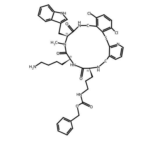 CN1C(=O)[C@H](CCCCN)NC(=O)[C@H](CCCNC(=O)OCc2ccccc2)NCc2cccnc2Sc2c(Cl)ccc(Cl)c2CNC(=O)[C@@H]1Cc1c[nH]c2ccccc12